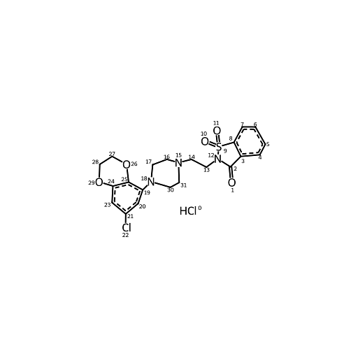 Cl.O=C1c2ccccc2S(=O)(=O)N1CCN1CCN(c2cc(Cl)cc3c2OCCO3)CC1